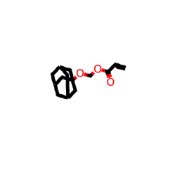 C=CC(=O)OCOC12CC3CC(CC(C3)C1)C2